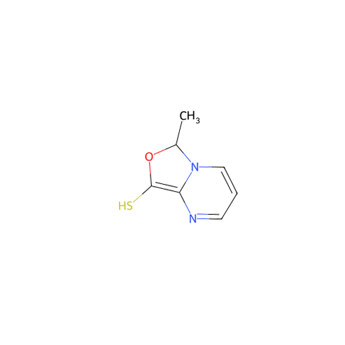 CC1OC(S)=C2N=CC=CN21